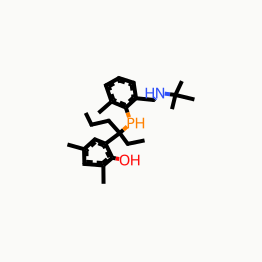 CCCC(CC)(Pc1c(C)cccc1CNC(C)(C)C)c1cc(C)cc(C)c1O